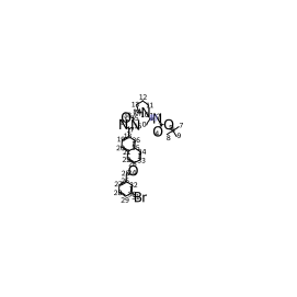 C/C(=N\C(=O)OC(C)(C)C)N1CCC[C@H]1c1nc(-c2ccc3cc(OCc4cccc(Br)c4)ccc3c2)no1